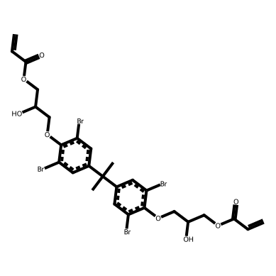 C=CC(=O)OCC(O)COc1c(Br)cc(C(C)(C)c2cc(Br)c(OCC(O)COC(=O)C=C)c(Br)c2)cc1Br